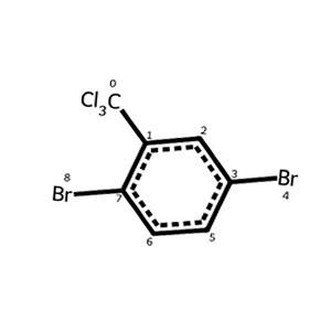 ClC(Cl)(Cl)c1cc(Br)ccc1Br